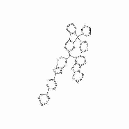 c1ccc(-c2ccc(-c3nc4cc(N(c5ccc6c(c5)C(c5ccccc5)(c5ccccc5)c5ccccc5-6)c5cccc6c5sc5ccccc56)ccc4s3)cc2)cc1